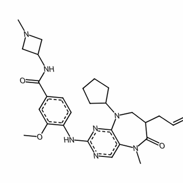 C=CCC1CN(C2CCCC2)c2nc(Nc3ccc(C(=O)NC4CN(C)C4)cc3OC)ncc2N(C)C1=O